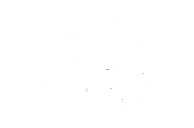 CN[C@@H]1[C@@H](O)[C@@H](O[C@H]2[C@H](NCC(O)CN)C[C@H](N)C(O[C@H]3OC(CNCC4CC(N)C4)=CC[C@H]3N)[C@@H]2O)OC[C@]1(C)O